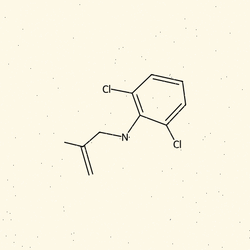 C=C(C)C[N]c1c(Cl)cccc1Cl